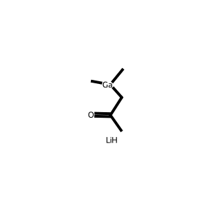 CC(=O)[CH2][Ga]([CH3])[CH3].[LiH]